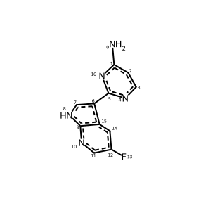 Nc1ccnc(-c2c[nH]c3ncc(F)cc23)n1